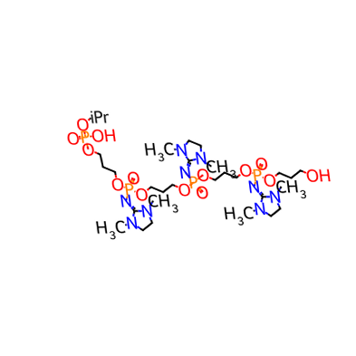 CC(C)OP(=O)(O)OCCCOP(=O)(N=C1N(C)CCN1C)OCCCOP(=O)(N=C1N(C)CCN1C)OCCCOP(=O)(N=C1N(C)CCN1C)OCCCO